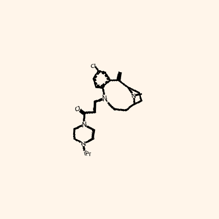 C=C1c2cc(Cl)ccc2N(CCC(=O)N2CCN(C(C)C)CC2)CCC2CCC1N2C